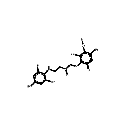 CC(C)c1cc(C(C)C)c(NCCN(Br)CNc2c(C(C)C)cc(C(C)C)[c]([Co][Br])c2C(C)C)c(C(C)C)c1